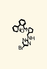 O=C(c1ccccc1-c1ccccn1)N1CCCC1CNc1ncc(Br)cn1